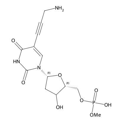 COP(=O)(O)OC[C@H]1O[C@@H](n2cc(C#CCN)c(=O)[nH]c2=O)CC1O